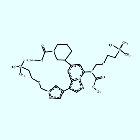 CC(C)(C)OC(=O)N1CCCC(c2cc(N(COCC[Si](C)(C)C)C(=O)OC(C)(C)C)n3ncc(-c4cnn(COCC[Si](C)(C)C)c4)c3n2)C1